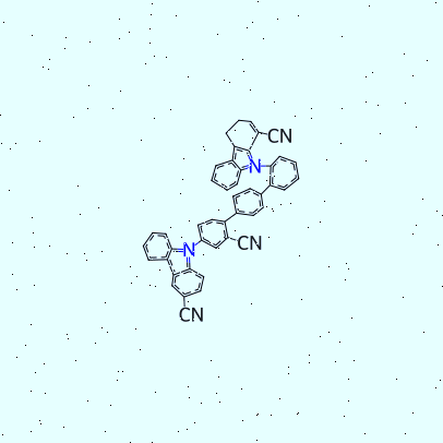 N#CC1=CCCc2c1n(-c1ccccc1-c1ccc(-c3ccc(-n4c5ccccc5c5cc(C#N)ccc54)cc3C#N)cc1)c1ccccc21